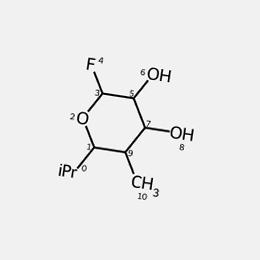 CC(C)C1OC(F)C(O)C(O)C1C